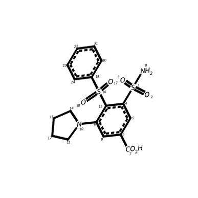 NS(=O)(=O)c1cc(C(=O)O)cc(N2CCCC2)c1S(=O)(=O)c1ccccc1